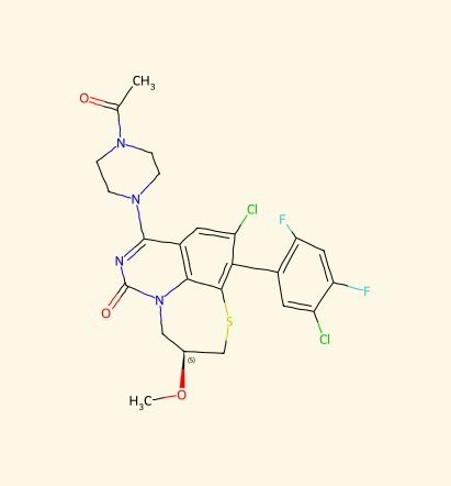 CO[C@@H]1CSc2c(-c3cc(Cl)c(F)cc3F)c(Cl)cc3c(N4CCN(C(C)=O)CC4)nc(=O)n(c23)C1